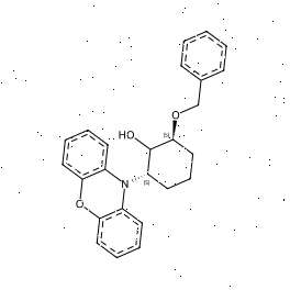 OC1[C@@H](OCc2ccccc2)CCC[C@@H]1N1c2ccccc2Oc2ccccc21